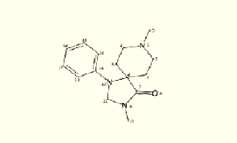 CN1CCC2(CC1)C(=O)N(C)CN2c1ccccc1